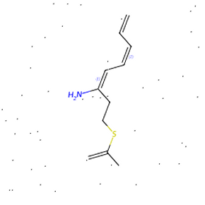 C=C/C=C\C=C(\N)CCSC(=C)C